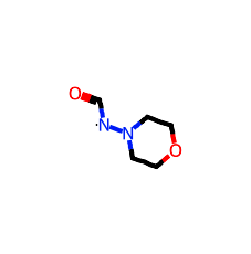 O=C[N]N1CCOCC1